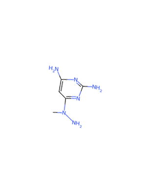 CN(N)c1cc(N)nc(N)n1